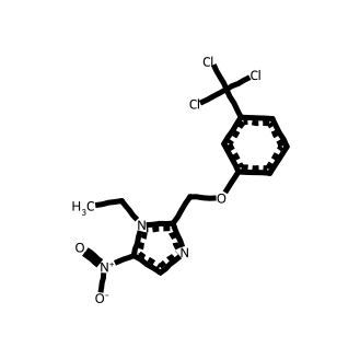 CCn1c([N+](=O)[O-])cnc1COc1cccc(C(Cl)(Cl)Cl)c1